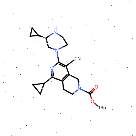 CC(C)(C)OC(=O)N1CCc2c(C3CC3)nc(N3CCN[C@H](C4CC4)C3)c(C#N)c2C1